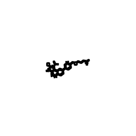 CC(C)n1c(=O)n(C)c2nnc3ccc(-c4ccc(COCCCN(C)C)nc4)cc3c21